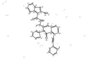 Cc1ccncc1C#Cc1cccc2nc(C(C)NC(=O)c3c(N)nn4cccnc34)n(-c3ccccc3)c(=O)c12